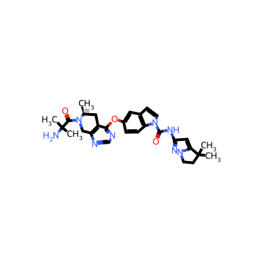 C[C@H]1Cc2c(ncnc2Oc2ccc3c(ccn3C(=O)Nc3cc4n(n3)CCC4(C)C)c2)CN1C(=O)C(C)(C)N